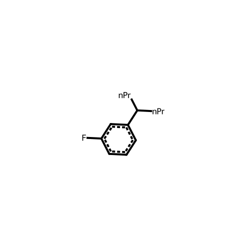 CCCC(CCC)c1cccc(F)c1